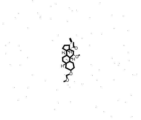 C=C[C@H]1CC[C@H]2[C@@H]3CC[C@H]4C[C@H](OCOC)CC[C@]4(C)[C@H]3[C@@H](OC)C[C@]12C(C)=O